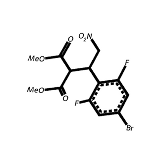 COC(=O)C(C(=O)OC)C(C[N+](=O)[O-])c1c(F)cc(Br)cc1F